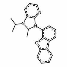 CC(C)N1c2cccnc2N(c2cccc3c2oc2ccccc23)C1C